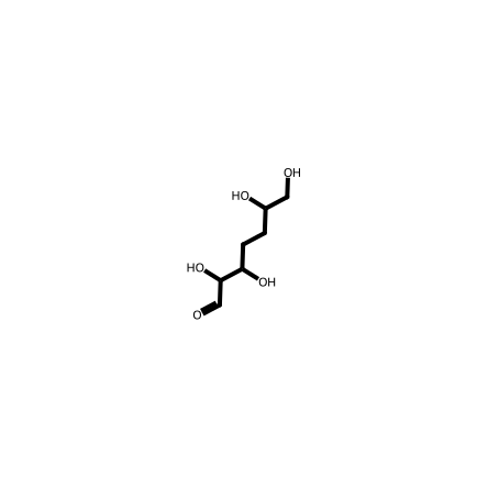 O=CC(O)C(O)CCC(O)CO